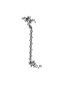 CCCN(OCC)C(=O)C1=Cc2ccc(N3CCN(CCOCCOCCOCCOCCOCCOCCOCCOCCOCCOCCC(=O)Oc4c(F)c(F)c(S(=O)(=O)O)c(F)c4F)CC3)cc2N=C(N)C1